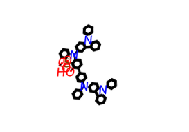 COS(=O)(=O)c1c(N(c2ccccc2)c2ccc3c(c2)c2ccccc2n3-c2ccccc2)ccc(-c2ccc(N(c3ccccc3)c3ccc4c(c3)c3ccccc3n4-c3ccccc3)cc2)c1O